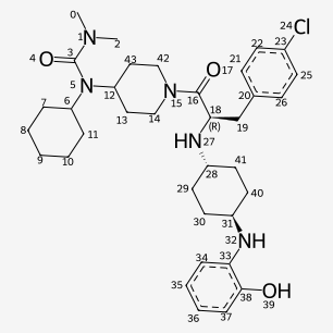 CN(C)C(=O)N(C1CCCCC1)C1CCN(C(=O)[C@@H](Cc2ccc(Cl)cc2)N[C@H]2CC[C@H](Nc3ccccc3O)CC2)CC1